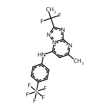 Cc1cc(Nc2ccc(S(F)(F)(F)(F)F)cc2)n2nc(C(C)(F)F)nc2n1